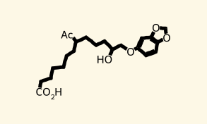 CC(=O)C(CCCCCCC(=O)O)CCCC(O)COc1ccc2c(c1)OCO2